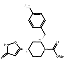 COC(=O)N1CC[C@H](c2cc(=O)[nH]o2)C[C@@H]1Cc1ccc(C(F)(F)F)cc1